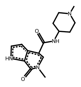 CN1CCC(NC(=O)c2cn(C)c(=O)c3[nH]ccc23)CC1